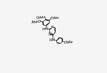 COc1ccc(Nc2ccnc(Nc3cc(OC)c(OC)c(OC)c3)n2)cc1